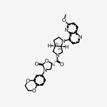 COc1ccc2nccc(N3CC[C@H]4CN(C(=O)[C@@H]5CN(c6ccc7c(c6)OCCO7)C(=O)O5)C[C@H]43)c2n1